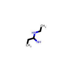 CCNC([NH])CC